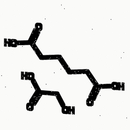 O=C(O)CCCCC(=O)O.O=C(O)CO